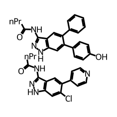 CCCC(=O)Nc1n[nH]c2cc(-c3ccc(O)cc3)c(-c3ccccc3)cc12.CCCC(=O)Nc1n[nH]c2cc(Cl)c(-c3ccncc3)cc12